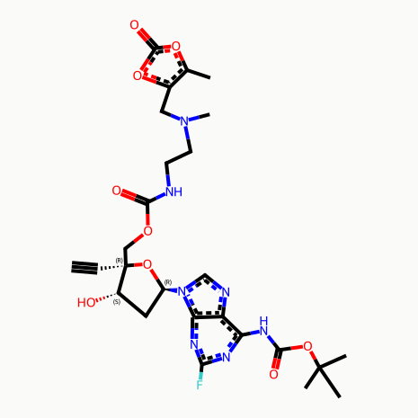 C#C[C@]1(COC(=O)NCCN(C)Cc2oc(=O)oc2C)O[C@@H](n2cnc3c(NC(=O)OC(C)(C)C)nc(F)nc32)C[C@@H]1O